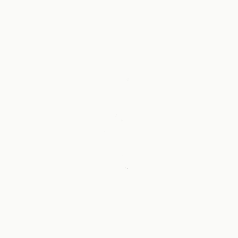 COC(=O)COc1cc(O)c2c(c1)CC(N)C2